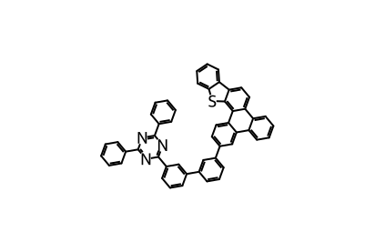 c1ccc(-c2nc(-c3ccccc3)nc(-c3cccc(-c4cccc(-c5ccc6c(c5)c5ccccc5c5ccc7c8ccccc8sc7c56)c4)c3)n2)cc1